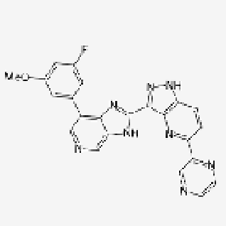 COc1cc(F)cc(-c2cncc3[nH]c(-c4n[nH]c5ccc(-c6cnccn6)nc45)nc23)c1